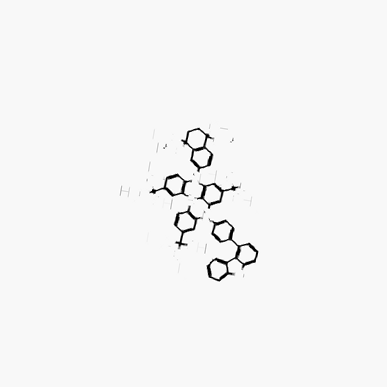 CC(C)(C)c1ccc2c(c1)B1c3ccc(C(C)(C)C)cc3N(c3ccc(-c4cccc5oc6ccccc6c45)cc3)c3cc(C(C)(C)C)cc(c31)N2c1ccc2c(c1)C(C)(C)CCC2(C)C